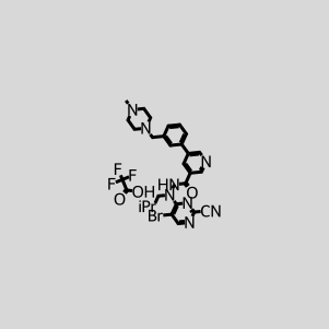 CC(C)CN(NC(=O)c1cncc(-c2cccc(CN3CCN(C)CC3)c2)c1)c1nc(C#N)ncc1Br.O=C(O)C(F)(F)F